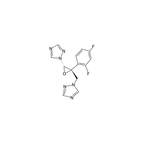 Fc1ccc([C@]2(Cn3cncn3)O[C@@H]2n2cncn2)c(F)c1